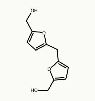 OCc1ccc(Cc2ccc(CO)o2)o1